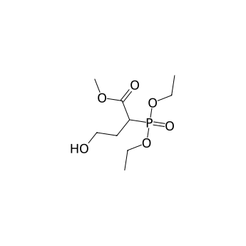 CCOP(=O)(OCC)C(CCO)C(=O)OC